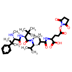 CN[C@H](C(=O)N[C@H](C(=O)N(C)[C@H](CC(C)C(=O)NC(CCC(=O)ON1C(=O)CCC1=O)C(=O)O)C(C)C)C(C)(C)C)C(C)(C)c1ccccc1